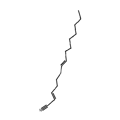 CCCCCCC/C=C/CCC/C=C/C#N